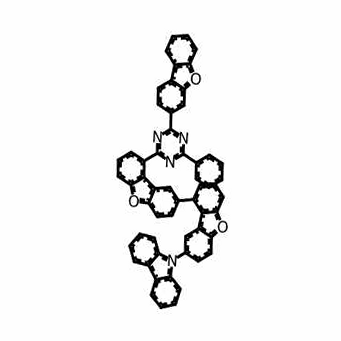 c1ccc(-c2nc(-c3ccc4c(c3)oc3ccccc34)nc(-c3cccc4oc5ccc(-c6cccc7oc8ccc(-n9c%10ccccc%10c%10ccccc%109)cc8c67)cc5c34)n2)cc1